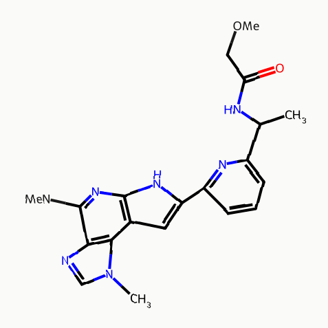 CNc1nc2[nH]c(-c3cccc(C(C)NC(=O)COC)n3)cc2c2c1ncn2C